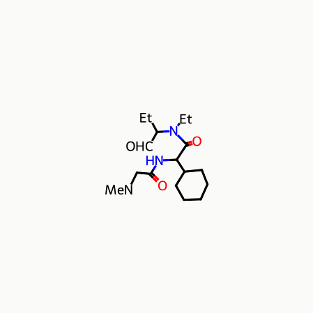 CCC(C=O)N(CC)C(=O)C(NC(=O)CNC)C1CCCCC1